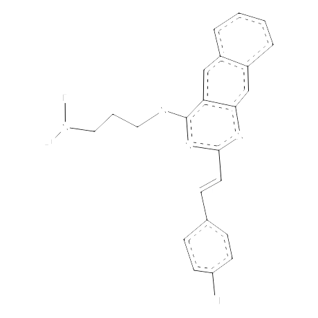 CCN(CC)CCCNc1nc(/C=C/c2ccc(Cl)cc2)nc2cc3ccccc3cc12